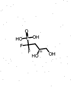 O=P(O)(O)C(F)(F)C[C@H](O)CO